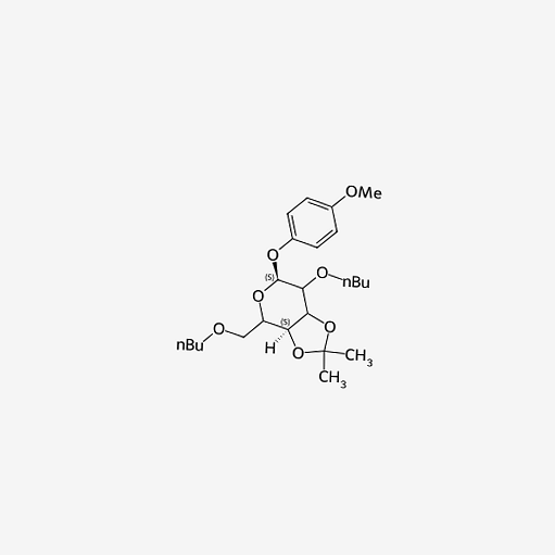 CCCCOCC1O[C@@H](Oc2ccc(OC)cc2)C(OCCCC)C2OC(C)(C)O[C@@H]12